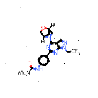 CNC(=O)Nc1ccc(-c2nc(N3C[C@@H]4C[C@H]3CO4)c3cnn(CC(F)(F)F)c3n2)cc1